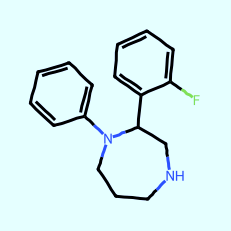 Fc1ccccc1C1CNCCCN1c1ccccc1